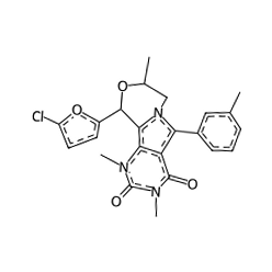 Cc1cccc(-c2c3c(=O)n(C)c(=O)n(C)c3c3n2CC(C)OC3c2ccc(Cl)o2)c1